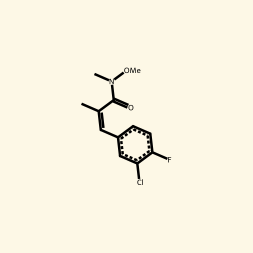 CON(C)C(=O)C(C)=Cc1ccc(F)c(Cl)c1